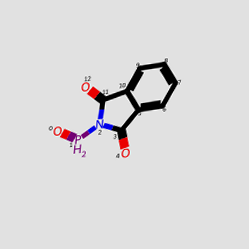 O=[PH2]N1C(=O)c2ccccc2C1=O